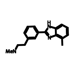 CNCCc1cccc(-c2nc3c(C)cccc3[nH]2)c1